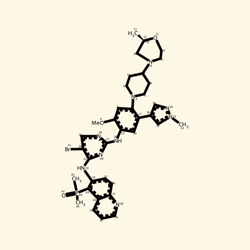 COc1cc(N2CCC(N3CCO[C@H](C)C3)CC2)c(-c2cnn(C)c2)cc1Nc1ncc(Br)c(Nc2ccc3ncccc3c2P(C)(C)=O)n1